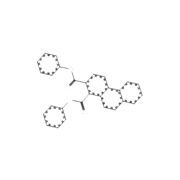 O=C(Oc1ccccc1)c1ccc2c(ccc3ccccc32)c1C(=O)Oc1ccccc1